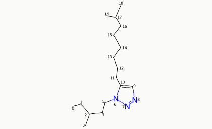 CCC(C)CCn1nncc1CCCCCCC(C)C